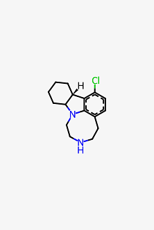 Clc1ccc2c3c1[C@H]1CCCCC1N3CCNCC2